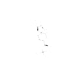 CC(C)(C)OC(=O)N1CCC2(C=C([Si](C)(C)C)N=N2)CC1